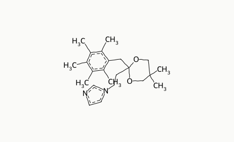 Cc1c(C)c(C)c(CC2(CCn3ccnc3)OCC(C)(C)CO2)c(C)c1C